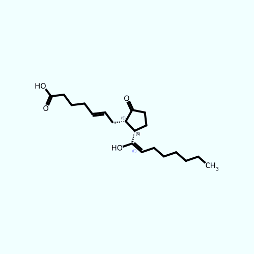 CCCCCC/C=C(/O)[C@H]1CCC(=O)[C@H]1CC=CCCCC(=O)O